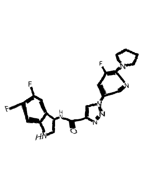 O=C(Nc1c[nH]c2cc(F)c(F)cc12)c1cn(-c2cnc(N3CCCC3)c(F)c2)nn1